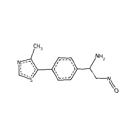 Cc1ncsc1-c1ccc(C(N)CN=O)cc1